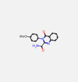 COc1ccc(-n2c(C(N)=O)nc3ccccc3c2=O)cc1